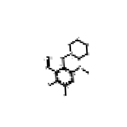 COc1cc(C)c(C)c(C=N)c1CN1CCCCC1